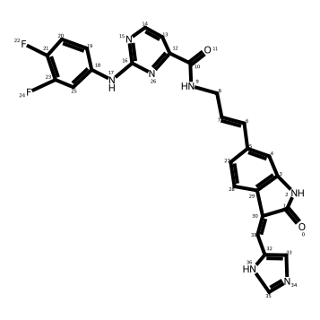 O=C1Nc2cc(/C=C/CNC(=O)c3ccnc(Nc4ccc(F)c(F)c4)n3)ccc2/C1=C/c1cnc[nH]1